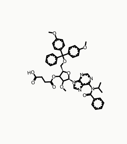 COc1ccc(C(OC[C@H]2O[C@@H](n3cnc4c(N(C(=O)c5ccccc5)C(C)C)ncnc43)C(OC)C2OC(=O)CCC(=O)O)(c2ccccc2)c2ccc(OC)cc2)cc1